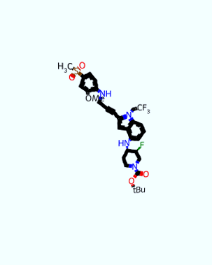 COc1cc(S(C)(=O)=O)ccc1NCC#Cc1cc2c(N[C@@H]3CCN(C(=O)OC(C)(C)C)C[C@@H]3F)cccc2n1CC(F)(F)F